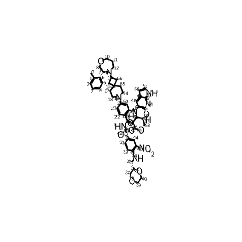 Cc1ccccc1[C@@H]1COCCCN1C1CC2(CCN(c3ccc(C(=O)NS(=O)(=O)c4ccc(NC[C@H]5COCCO5)c([N+](=O)[O-])c4)c(N4c5cc6cc[nH]c6nc5O[C@H]5COCC[C@@H]54)c3)CC2)C1